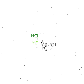 Cl.F.[KH].[MgH2]